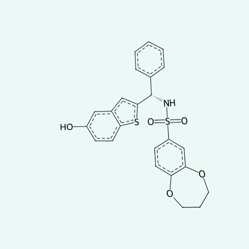 O=S(=O)(N[C@@H](c1ccccc1)c1cc2cc(O)ccc2s1)c1ccc2c(c1)OCCCO2